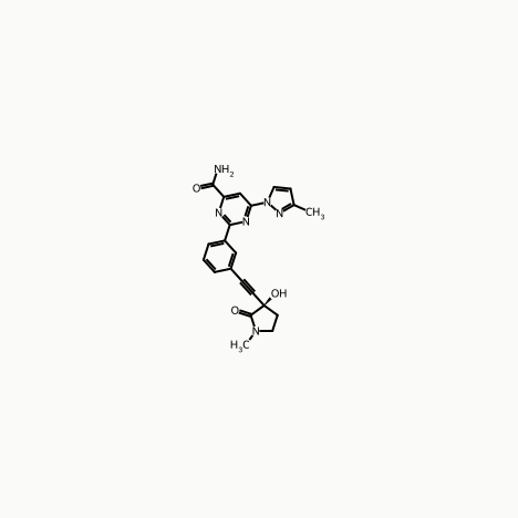 Cc1ccn(-c2cc(C(N)=O)nc(-c3cccc(C#C[C@]4(O)CCN(C)C4=O)c3)n2)n1